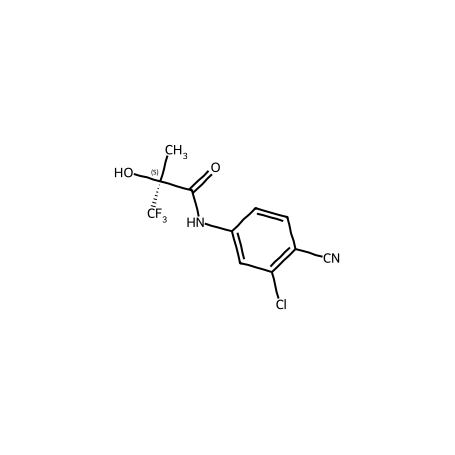 C[C@](O)(C(=O)Nc1ccc(C#N)c(Cl)c1)C(F)(F)F